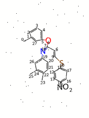 Cc1cccc(OC(C=CSc2ccc([N+](=O)[O-])cc2)=Nc2ccc(C)c(C)c2)c1